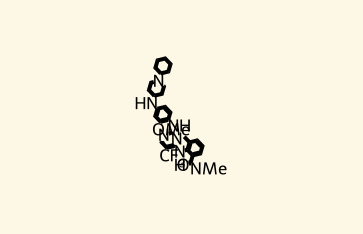 CNC(=O)c1cccc(C)c1Nc1nc(Nc2ccc(NC3CCN(C4CCCCC4)CC3)cc2OC)ncc1C(F)(F)F